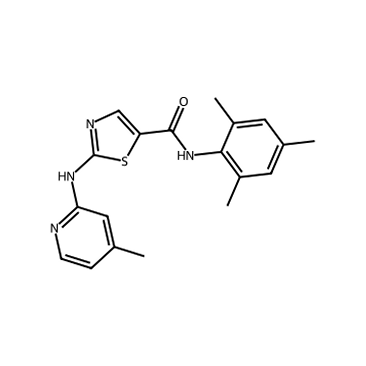 Cc1ccnc(Nc2ncc(C(=O)Nc3c(C)cc(C)cc3C)s2)c1